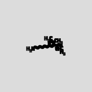 C/C=C\N(C)c1cc(CCCCCCN)cc(C)c1C